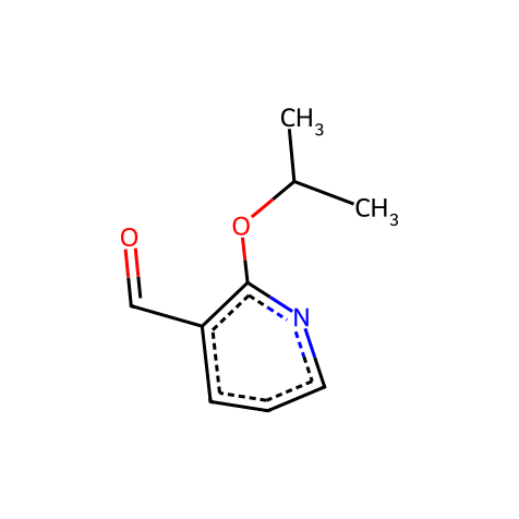 CC(C)Oc1ncccc1C=O